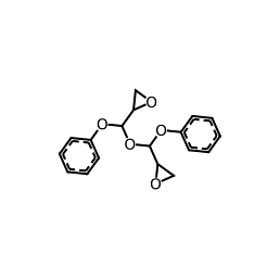 c1ccc(OC(OC(Oc2ccccc2)C2CO2)C2CO2)cc1